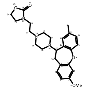 COc1ccc2c(c1)Oc1ccc(C)cc1C(N1CCN(CCN3CCOC3=O)CC1)C2